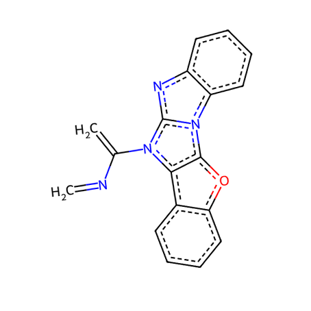 C=NC(=C)n1c2c3ccccc3oc2n2c3ccccc3nc12